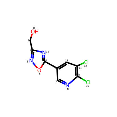 OCc1noc(-c2cnc(Cl)c(Cl)c2)n1